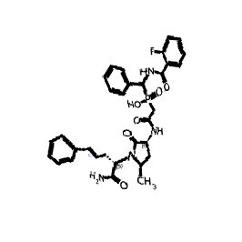 CC1C[C@H](NC(=O)CP(=O)(O)C(NC(=O)c2ccccc2F)c2ccccc2)C(=O)N1[C@@H](C/C=C/c1ccccc1)C(N)=O